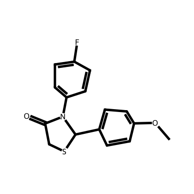 COc1ccc(C2SCC(=O)N2c2ccc(F)cc2)cc1